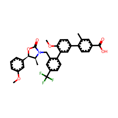 COc1cccc([C@H]2OC(=O)N(Cc3cc(C(F)(F)F)ccc3-c3cc(-c4ccc(C(=O)O)cc4C)ccc3OC)[C@H]2C)c1